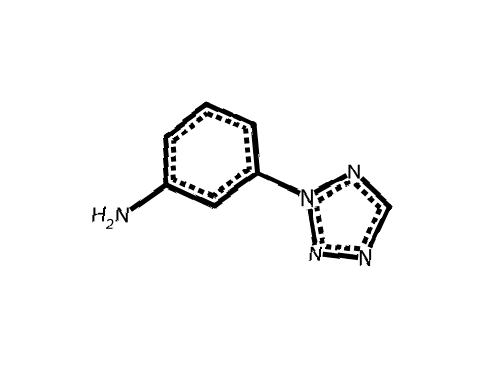 Nc1cccc(-n2ncnn2)c1